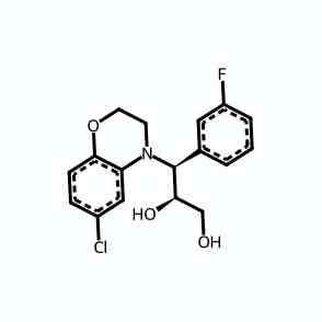 OC[C@@H](O)[C@H](c1cccc(F)c1)N1CCOc2ccc(Cl)cc21